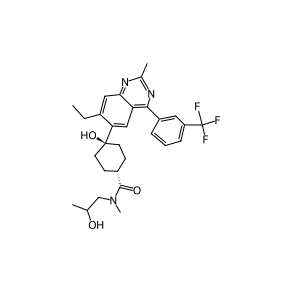 CCc1cc2nc(C)nc(-c3cccc(C(F)(F)F)c3)c2cc1[C@]1(O)CC[C@H](C(=O)N(C)CC(C)O)CC1